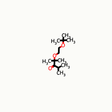 CC(C)C(=O)C(C)(C)OCCOC(C)(C)C